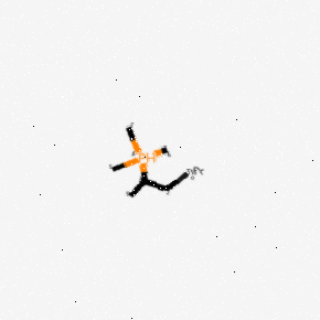 CCCCC(C)[PH](C)(C)C